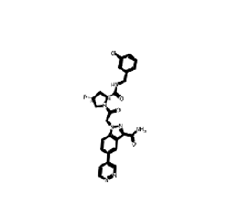 NC(=O)c1nn(CC(=O)N2C[C@H](F)C[C@H]2C(=O)NCc2cccc(Cl)c2)c2ccc(-c3ccnnc3)cc12